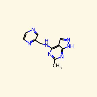 Cc1nc(NCc2cnccn2)c2cn[nH]c2n1